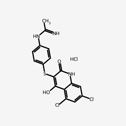 CC(=N)Nc1ccc(Sc2c(O)c3c(Cl)cc(Cl)cc3[nH]c2=O)cc1.Cl